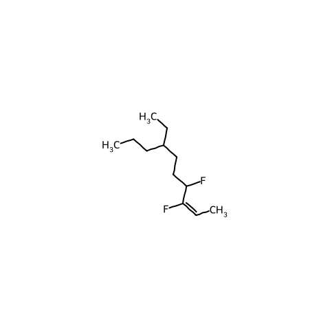 C/C=C(/F)C(F)CCC(CC)CCC